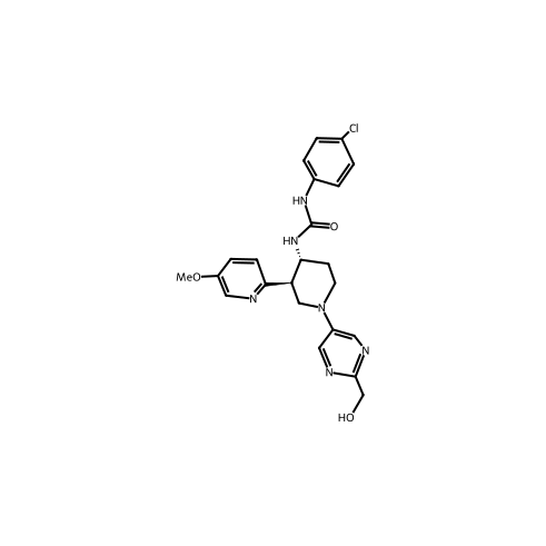 COc1ccc([C@@H]2CN(c3cnc(CO)nc3)CC[C@H]2NC(=O)Nc2ccc(Cl)cc2)nc1